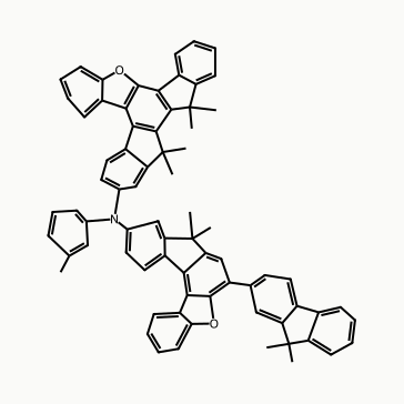 Cc1cccc(N(c2ccc3c(c2)C(C)(C)c2cc(-c4ccc5c(c4)C(C)(C)c4ccccc4-5)c4oc5ccccc5c4c2-3)c2ccc3c(c2)C(C)(C)c2c4c(c5oc6ccccc6c5c2-3)-c2ccccc2C4(C)C)c1